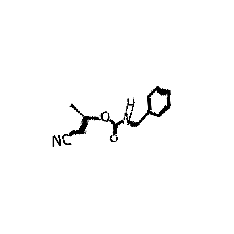 C[C@H](CC#N)OC(=O)NCc1ccccc1